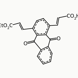 CCOC(=O)C=Cc1ccc(C=CC(=O)O)c2c1C(=O)c1ccccc1C2=O